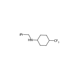 CC(C)CNC1CCC(C(F)(F)F)CC1